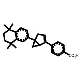 CC1(C)CCC(C)(C)c2cc(C34CC=C(c5ccc(C(=O)O)cc5)C3C4)ccc21